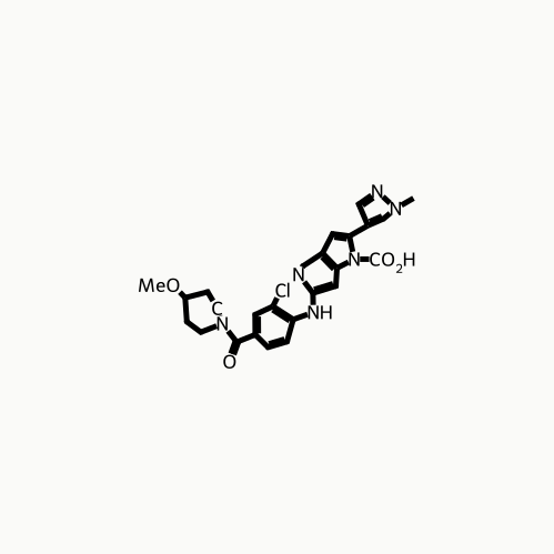 COC1CCN(C(=O)c2ccc(Nc3cc4c(cn3)cc(-c3cnn(C)c3)n4C(=O)O)c(Cl)c2)CC1